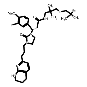 CCC(C)(C)COCC(C)(C)CNC(=O)C[C@@H](c1ccc(OC)c(F)c1)N1CCN(CCCc2ccc3c(n2)NCCC3)C1=O